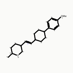 COc1ccc(C2CCC(/C=C/C3CCC(C)OC3)CC2)cc1